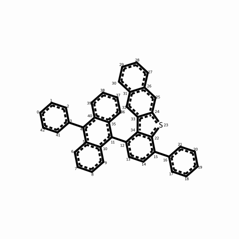 c1ccc(-c2c3ccccc3c(-c3ccc(-c4ccccc4)c4sc5cc6ccccc6cc5c34)c3ccccc23)cc1